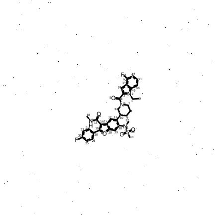 CCn1c(C(=O)N2CCCC(c3cc4c(C(=O)NC)c(-c5ccc(F)cc5)oc4cc3N(C)S(C)(=O)=O)C2)cc2c(F)cccc21